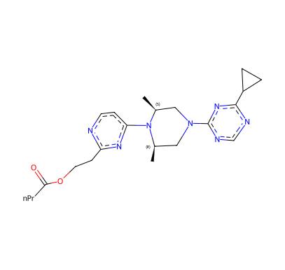 CCCC(=O)OCCc1nccc(N2[C@H](C)CN(c3ncnc(C4CC4)n3)C[C@@H]2C)n1